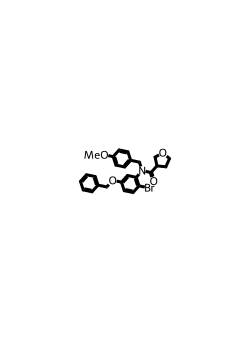 COc1ccc(CN(C(=O)C2CCOC2)c2cc(OCc3ccccc3)ccc2Br)cc1